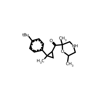 CC1CNCC(C)(C(=O)C2CC2(C)c2ccc(C(C)(C)C)cc2)O1